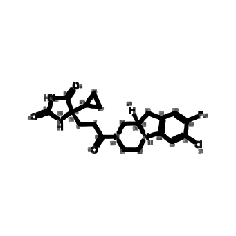 O=C1NC(=O)[C@](CCC(=O)N2CCN3c4cc(Cl)c(F)cc4C[C@H]3C2)(C2CC2)N1